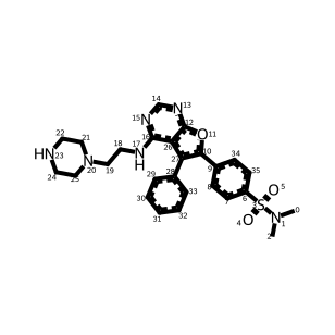 CN(C)S(=O)(=O)c1ccc(-c2oc3ncnc(NCCN4CCNCC4)c3c2-c2ccccc2)cc1